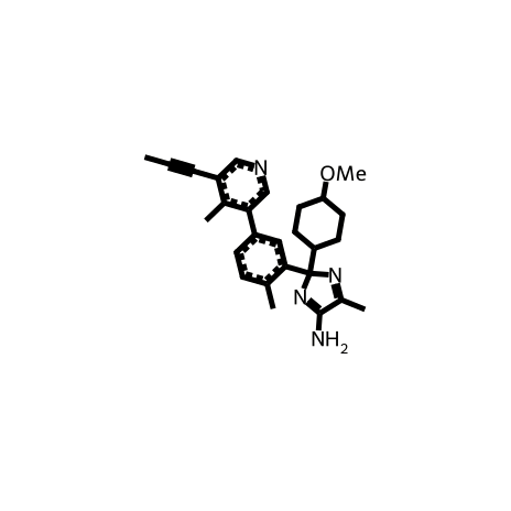 CC#Cc1cncc(-c2ccc(C)c(C3(C4CCC(OC)CC4)N=C(C)C(N)=N3)c2)c1C